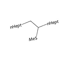 CCCCCCCCC(CCCCCCC)SC